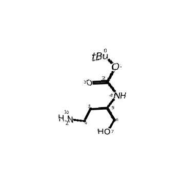 CC(C)(C)OC(=O)NC(CO)CCN